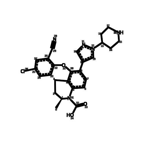 C[C@H]1CCc2c(ccc(-c3cnn(C4CCNCC4)c3)c2Oc2ccc(Cl)cc2C#N)N1C(=O)O